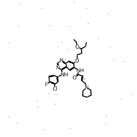 CCOC(CC)CCOc1cc2ncnc(Nc3ccc(F)c(Cl)c3)c2cc1NC(=O)/C=C/CN1CCCCC1